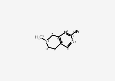 CC(C)c1ncc2c(n1)CN(C)CC2